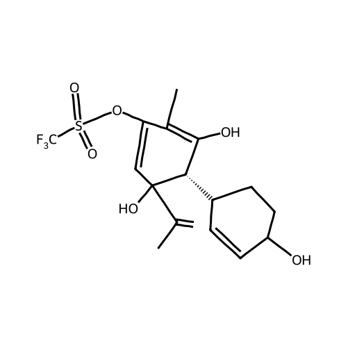 C=C(C)C1(O)C=C(OS(=O)(=O)C(F)(F)F)C(C)=C(O)[C@@H]1C1C=CC(O)CC1